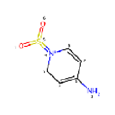 NC1=CC[N+](=S(=O)=O)C=C1